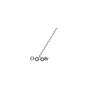 CCCCCCCCCCCCCCCCCCCCCCC1c2cc(Cl)ccc2-c2ccc(Br)cc21